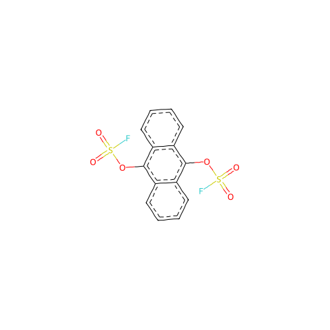 O=S(=O)(F)Oc1c2ccccc2c(OS(=O)(=O)F)c2ccccc12